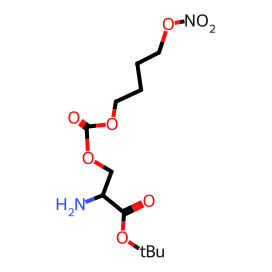 CC(C)(C)OC(=O)C(N)COC(=O)OCCCCO[N+](=O)[O-]